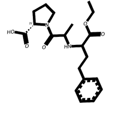 CCOC(=O)C(CCc1ccccc1)NC(C)C(=O)N1CCC[C@H]1C(=O)O